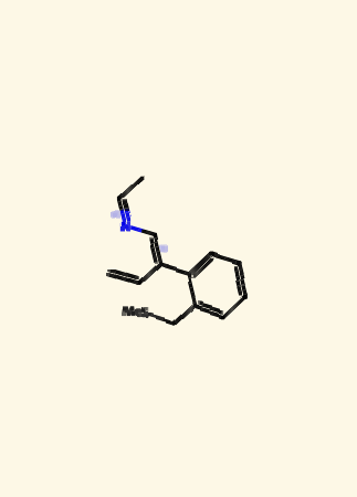 C=C/C(=C\N=C/C)c1ccccc1CSC